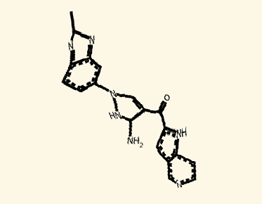 CC1N=c2ccc(N3C=C(C(=O)c4cc5cnccc5[nH]4)C(N)N3)cc2=N1